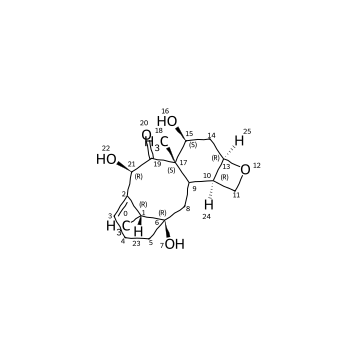 C[C@@H]1C2=CCC[C@@]1(O)CC1[C@@H]3CO[C@@H]3C[C@H](O)[C@@]1(C)C(=O)[C@@H]2O